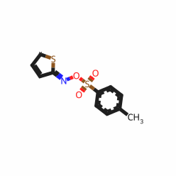 Cc1ccc(S(=O)(=O)ON=C2C=C[C]S2)cc1